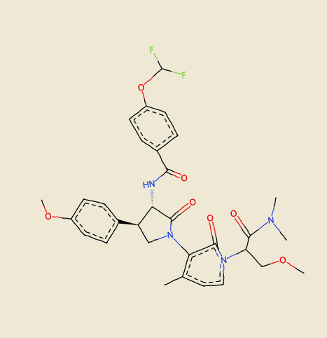 COCC(C(=O)N(C)C)n1ccc(C)c(N2C[C@@H](c3ccc(OC)cc3)[C@H](NC(=O)c3ccc(OC(F)F)cc3)C2=O)c1=O